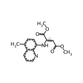 COC(=O)/C=C(\Nc1ccc(C)c2cccnc12)C(=O)OC